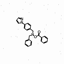 O=C(ON(Cc1ccccc1)Cc1ccc(-n2cccn2)cc1)c1ccccc1